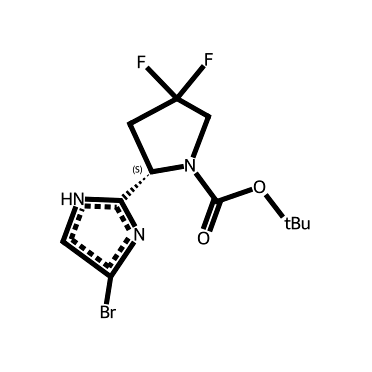 CC(C)(C)OC(=O)N1CC(F)(F)C[C@H]1c1nc(Br)c[nH]1